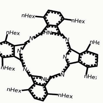 CCCCCCc1ccc(CCCCCC)c2c1-c1nc-2nc2[nH]c(nc3nc(nc4[nH]c(n1)c1c(CCCCCC)ccc(CCCCCC)c41)-c1c(CCCCCC)ccc(CCCCCC)c1-3)c1c(CCCCCC)ccc(CCCCCC)c21